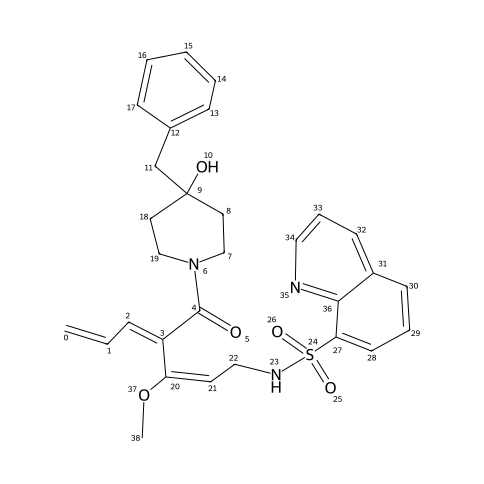 C=C/C=C(C(=O)N1CCC(O)(Cc2ccccc2)CC1)\C(=C/CNS(=O)(=O)c1cccc2cccnc12)OC